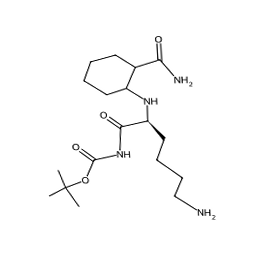 CC(C)(C)OC(=O)NC(=O)[C@H](CCCCN)NC1CCCCC1C(N)=O